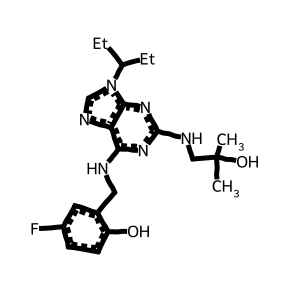 CCC(CC)n1cnc2c(NCc3cc(F)ccc3O)nc(NCC(C)(C)O)nc21